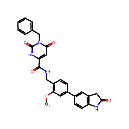 O=C1Cc2cc(-c3ccc(CNC(=O)c4cc(=O)n(Cc5ccccc5)c(=O)[nH]4)c(OC(F)(F)F)c3)ccc2N1